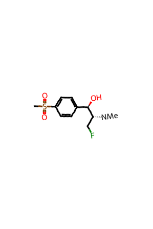 CN[C@H](CF)[C@H](O)c1ccc(S(C)(=O)=O)cc1